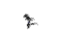 CCCCOc1nc(CF)ccc1/C=C/C(=O)N[C@H](C)c1ccc(NS(C)(=O)=O)c(F)c1